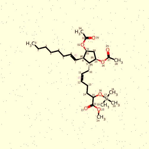 CCCCCC/C=C/[C@@H]1[C@@H](C/C=C\CCC(O[Si](C)(C)C)C(=O)OC)[C@H](OC(C)=O)C[C@@H]1OC(C)=O